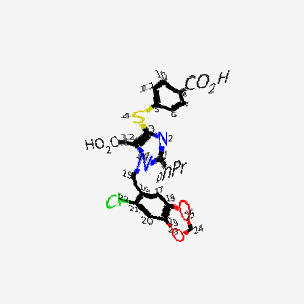 CCCc1nc(Sc2ccc(C(=O)O)cc2)c(C(=O)O)n1Cc1cc2c(cc1Cl)OCO2